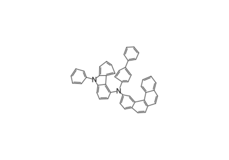 c1ccc(-c2ccc(N(c3ccc4ccc5ccc6ccccc6c5c4c3)c3cccc4c3c3ccccc3n4-c3ccccc3)cc2)cc1